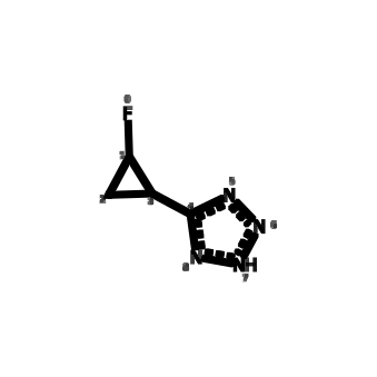 FC1CC1c1nn[nH]n1